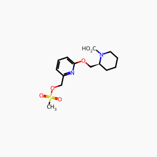 CS(=O)(=O)OCc1cccc(OC[C@@H]2CCCCN2C(=O)O)n1